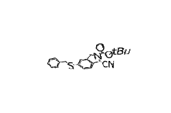 CC(C)(C)OC(=O)N1Cc2cc(SCc3ccccc3)ccc2C1C#N